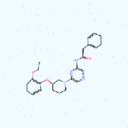 CCOC1=C(OC2CCCN(c3cncc(NC(=O)CC4=CCCC=C4)n3)C2)C=CCC1